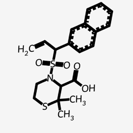 C=CC(c1ccc2ccccc2c1)S(=O)(=O)N1CCSC(C)(C)C1C(=O)O